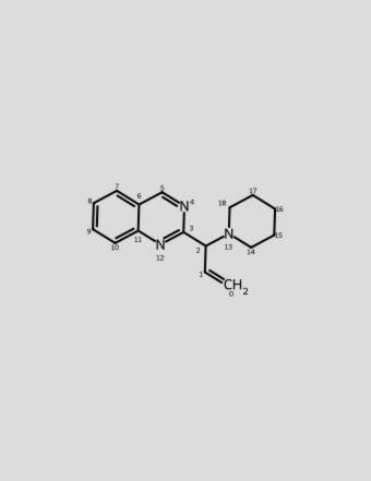 C=CC(c1ncc2ccccc2n1)N1CCCCC1